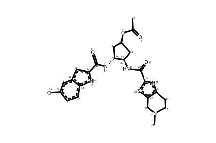 CC(=O)OC1C[C@@H](NC(=O)c2cc3cc(Cl)ccc3[nH]2)[C@H](NC(=O)c2nc3c(s2)CN(C)CC3)C1